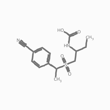 CCC(CS(=O)(=O)C(C)c1ccc(C#N)cc1)NC(=O)O